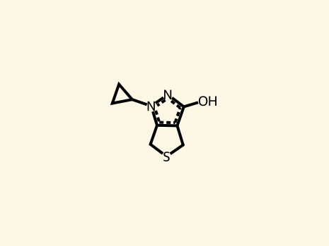 Oc1nn(C2CC2)c2c1CSC2